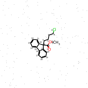 COC(=O)C1(CCCCCl)c2ccccc2-c2ccccc21